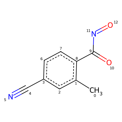 Cc1cc(C#N)ccc1C(=O)N=O